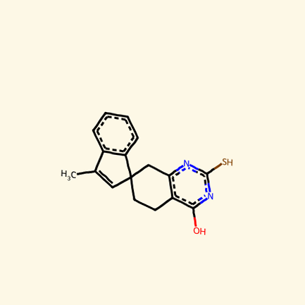 CC1=CC2(CCc3c(O)nc(S)nc3C2)c2ccccc21